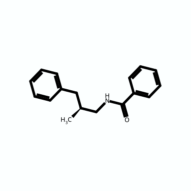 C[C@H](CNC(=O)c1ccccc1)Cc1ccccc1